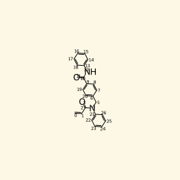 C=CC(=O)N(Cc1ccc(C(=O)Nc2ccccc2)cc1)c1ccccc1